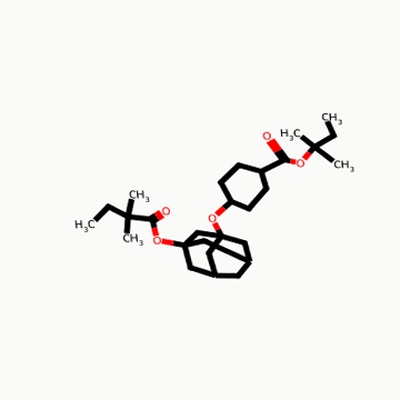 CCC(C)(C)OC(=O)C1CCC(OC23CC4CC(CC(OC(=O)C(C)(C)CC)(C4)C2)C3)CC1